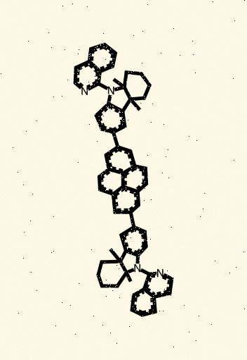 CC12CCCCC1(C)N(c1nccc3ccccc13)c1ccc(-c3cc4ccc5cc(-c6ccc7c(c6)C6(C)CCCCC6(C)N7c6nccc7ccccc67)cc6ccc(c3)c4c56)cc12